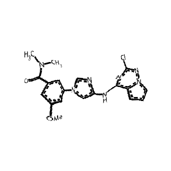 COc1cc(C(=O)N(C)C)cc(-n2cnc(Nc3nc(Cl)nn4cccc34)c2)c1